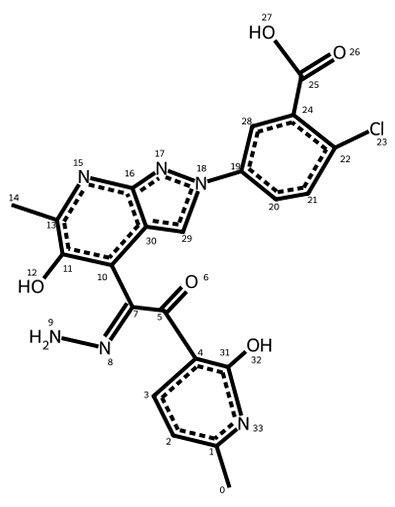 Cc1ccc(C(=O)/C(=N/N)c2c(O)c(C)nc3nn(-c4ccc(Cl)c(C(=O)O)c4)cc23)c(O)n1